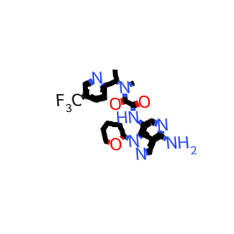 CC(c1ccc(C(F)(F)F)cn1)N(C)C(=O)C(=O)Nc1cnc(N)c2cnn(C3CCCCO3)c12